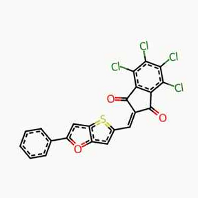 O=C1C(=Cc2cc3oc(-c4ccccc4)cc3s2)C(=O)c2c(Cl)c(Cl)c(Cl)c(Cl)c21